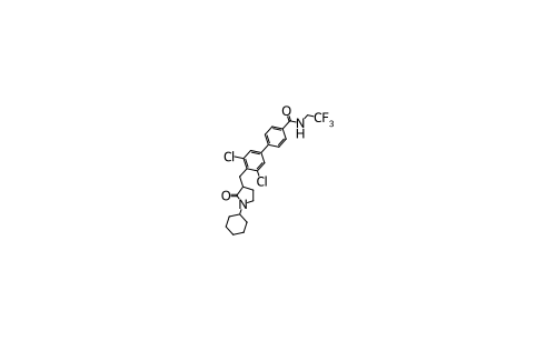 O=C(NCC(F)(F)F)c1ccc(-c2cc(Cl)c(CC3CCN(C4CCCCC4)C3=O)c(Cl)c2)cc1